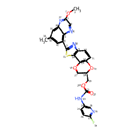 COc1cnc2c(-c3nc4ccc5c(c4s3)OC[C@H](COC(=O)Nc3ccc(F)nc3)O5)cc(C)cc2n1